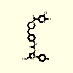 Cc1ccc(-n2nc(C(C)(C)C)cc2NC(=O)Nc2ccc(CC3CCN(C(=O)c4cnc(Cl)c(Cl)c4)CC3)cc2)cc1